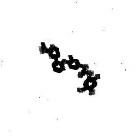 CNc1nccc(-c2cccnc2Oc2ccc(NC(=O)Nc3cc(Cl)c(Cl)cc3Cl)cc2C)n1